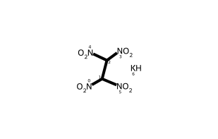 O=[N+]([O-])C(C([N+](=O)[O-])[N+](=O)[O-])[N+](=O)[O-].[KH]